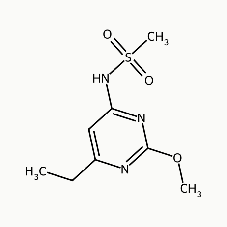 CCc1cc(NS(C)(=O)=O)nc(OC)n1